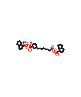 CCCCCCC1C=CC(CCCCCCCC(=O)OOC(=O)c2cccc3ccccc23)CC1C(=O)OOC(=O)c1cccc2ccccc12